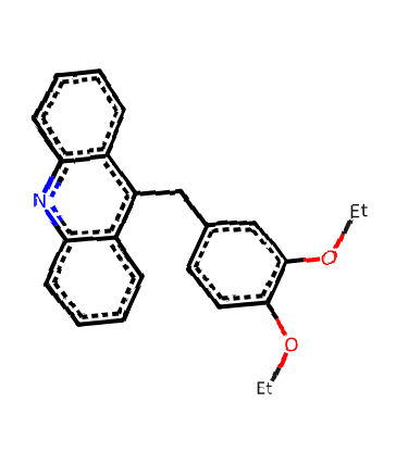 CCOc1ccc(Cc2c3ccccc3nc3ccccc23)cc1OCC